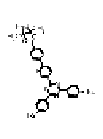 CC(C)(C)c1ccc(-c2nc(-c3ccc(C(C)(C)C)cc3)nc(-c3ccc(-c4ccc(B5OC(C)(C)C(C)(C)O5)cc4)nc3)n2)cc1